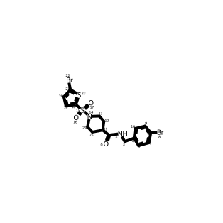 O=C(NCc1ccc(Br)cc1)C1CCN(S(=O)(=O)c2ccc(Br)s2)CC1